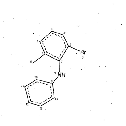 Cc1cccc(Br)c1Nc1ccccc1